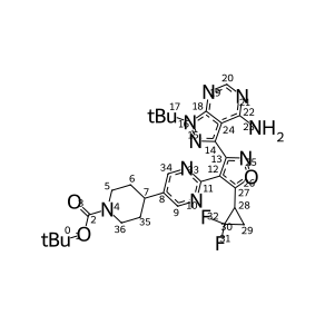 CC(C)(C)OC(=O)N1CCC(c2cnc(-c3c(-c4nn(C(C)(C)C)c5ncnc(N)c45)noc3C3CC3(F)F)nc2)CC1